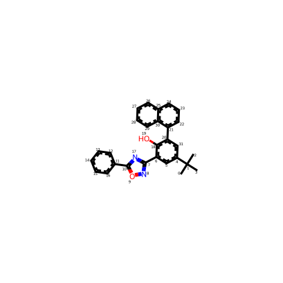 CC(C)(C)c1cc(-c2noc(-c3ccccc3)n2)c(O)c(-c2cccc3ccccc23)c1